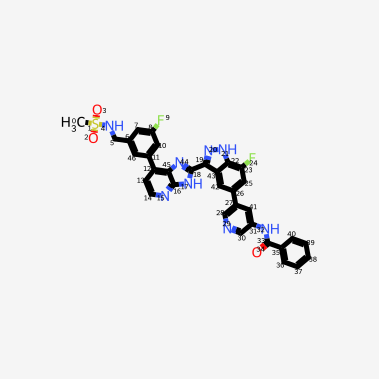 CS(=O)(=O)NCc1cc(F)cc(-c2ccnc3[nH]c(-c4n[nH]c5c(F)cc(-c6cncc(NC(=O)c7ccccc7)c6)cc45)nc23)c1